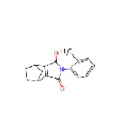 Cc1ccccc1N1C(=O)C2=C(C1=O)C1CCC2C1